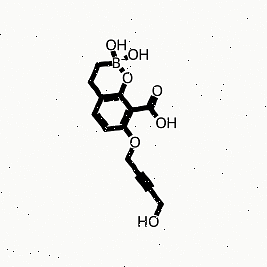 O=C(O)c1c(OCC#CCO)ccc2c1O[B-](O)(O)CC2